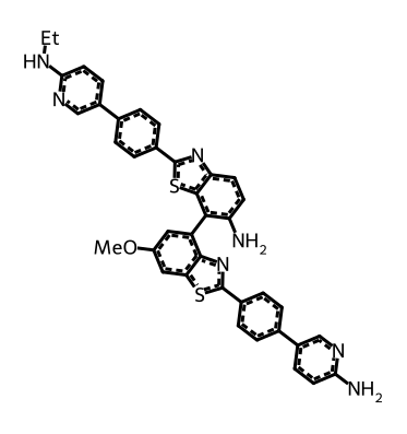 CCNc1ccc(-c2ccc(-c3nc4ccc(N)c(-c5cc(OC)cc6sc(-c7ccc(-c8ccc(N)nc8)cc7)nc56)c4s3)cc2)cn1